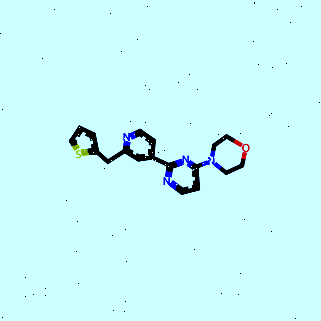 c1csc(Cc2cc(-c3nccc(N4CCOCC4)n3)ccn2)c1